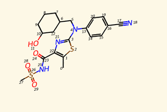 Cc1sc(N(CC2CCCC(O)C2)c2ccc(C#N)cc2)nc1C(=O)NS(C)(=O)=O